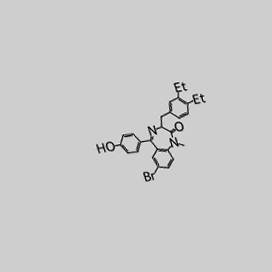 CCc1ccc(CC2N=C(c3ccc(O)cc3)c3cc(Br)ccc3N(C)C2=O)cc1CC